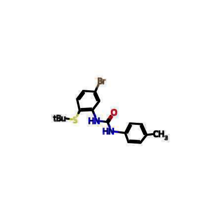 Cc1ccc(NC(=O)Nc2cc(Br)ccc2SC(C)(C)C)cc1